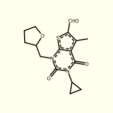 Cc1c(C=O)sc2c1c(=O)n(C1CC1)c(=O)n2CC1CCCO1